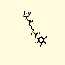 CCOC(OCC)O[SiH2]CCCCN(F)C(=O)Oc1cc(F)c(F)c(F)c1F